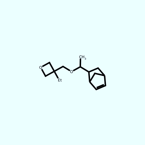 CCC1(COC(C)C2CC3C=CC2C3)COC1